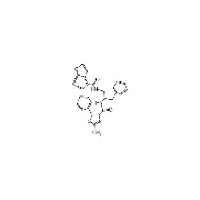 Cc1nc(C(=O)NC(CNC(=O)c2cccc3occc23)Cc2ccccc2)c(-c2ccccc2)s1